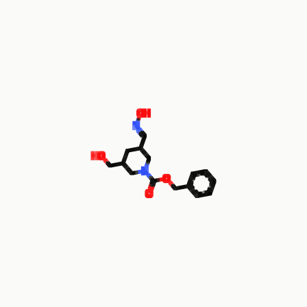 O=C(OCc1ccccc1)N1CC(/C=N/O)CC(CO)C1